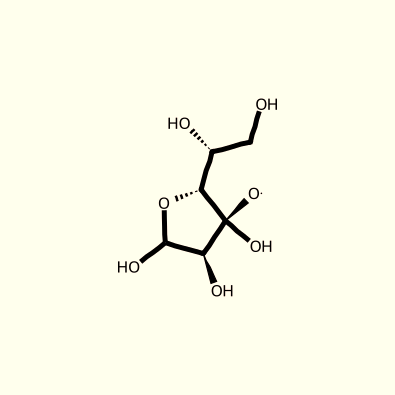 [O][C@]1(O)[C@@H]([C@H](O)CO)OC(O)[C@@H]1O